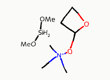 CO[SiH2]OC.C[N+](C)(C)OC1CCO1